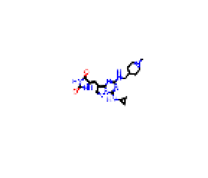 CN1CCC(CNc2nc(NC3CC3)n3ncc(/C=C4\NC(=O)NC4=O)c3n2)CC1